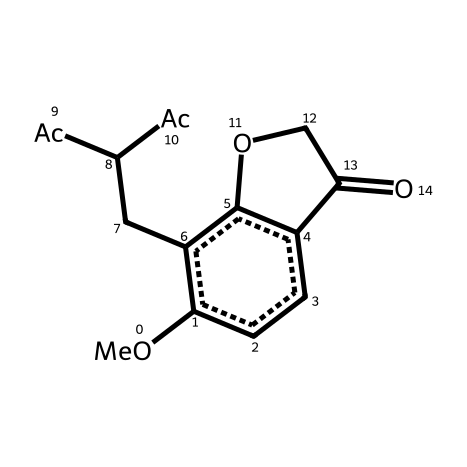 COc1ccc2c(c1CC(C(C)=O)C(C)=O)OCC2=O